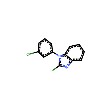 Clc1cccc(-n2c(Cl)nc3ccccc32)c1